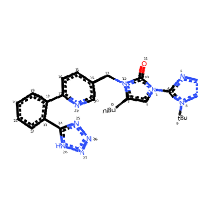 CCCCc1cn(-c2nnnn2C(C)(C)C)c(=O)n1Cc1ccc(-c2ccccc2-c2nnn[nH]2)nc1